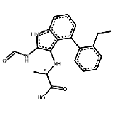 CCc1ccccc1-c1cccc2[nH]c(NC=O)c(N[C@H](C)C(=O)O)c12